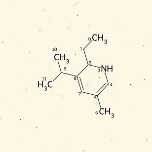 CCC1NC=C(C)C=C1C(C)C